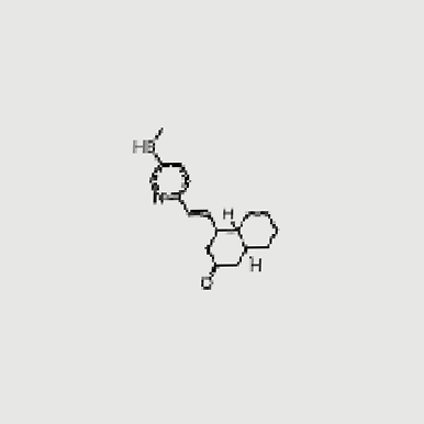 CBc1ccc(/C=C/[C@@H]2CC(=O)C[C@@H]3CCCC[C@H]32)nc1